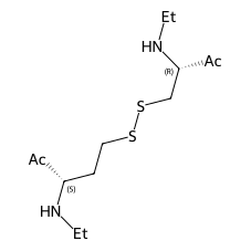 CCN[C@@H](CCSSC[C@H](NCC)C(C)=O)C(C)=O